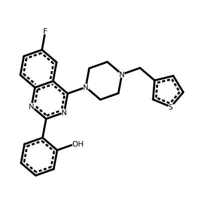 Oc1ccccc1-c1nc(N2CCN(Cc3ccsc3)CC2)c2cc(F)ccc2n1